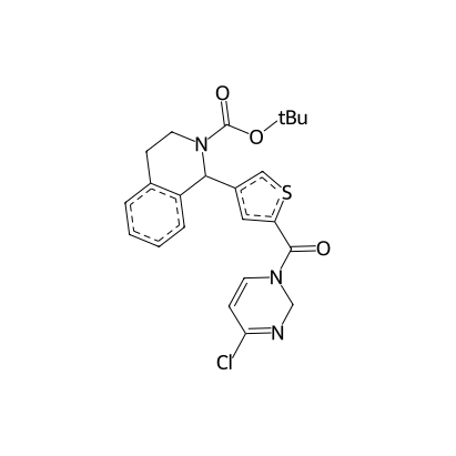 CC(C)(C)OC(=O)N1CCc2ccccc2C1c1csc(C(=O)N2C=CC(Cl)=NC2)c1